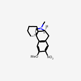 COc1cc2c(cc1[N+](=O)[O-])C[C@H]1C3CCCC[C@@]23CCN1C